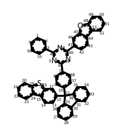 c1ccc(-c2nc(-c3ccc(C4(c5ccc6c(c5)sc5ccccc56)c5ccccc5-c5ccccc54)cc3)nc(-c3ccc4c(c3)oc3ccccc34)n2)cc1